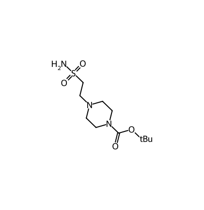 CC(C)(C)OC(=O)N1CCN(CCS(N)(=O)=O)CC1